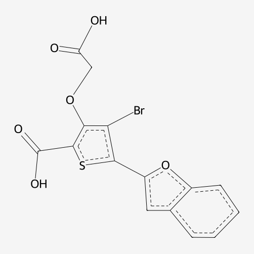 O=C(O)COc1c(C(=O)O)sc(-c2cc3ccccc3o2)c1Br